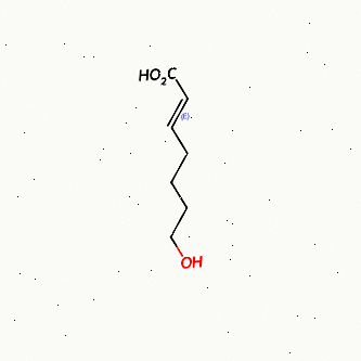 O=C(O)/C=C/CCCCO